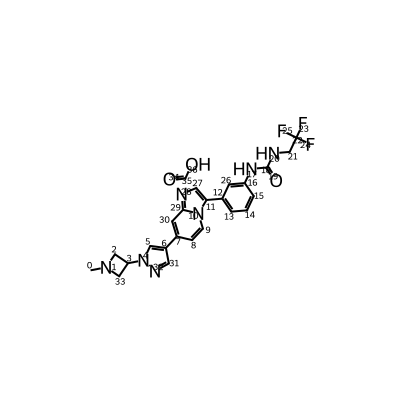 CN1CC(n2cc(-c3ccn4c(-c5cccc(NC(=O)NCC(F)(F)F)c5)cnc4c3)cn2)C1.O=CO